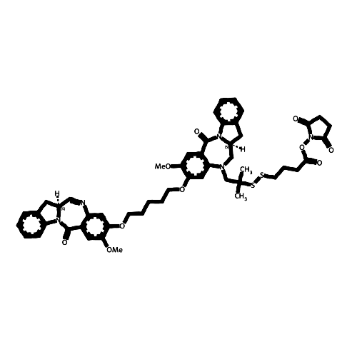 COc1cc2c(cc1OCCCCCOc1cc3c(cc1OC)C(=O)N1c4ccccc4C[C@H]1CN3CC(C)(C)SSCCCC(=O)ON1C(=O)CCC1=O)N=C[C@@H]1Cc3ccccc3N1C2=O